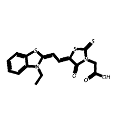 CCN1C(=CC=C2SC(=S)N(CC(=O)O)C2=O)Sc2ccccc21